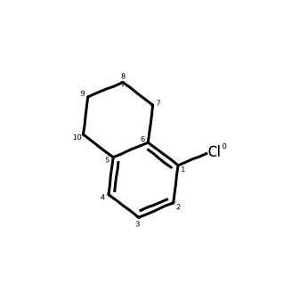 Clc1cccc2c1C[CH]CC2